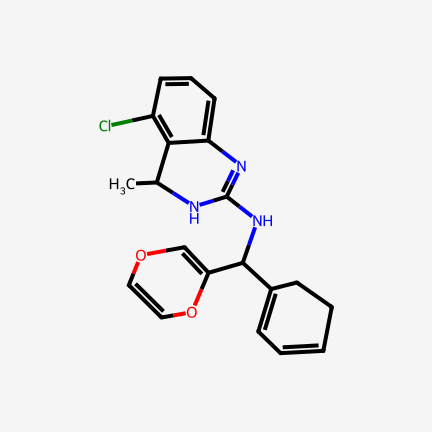 CC1NC(NC(C2=CC=CCC2)C2=COC=CO2)=Nc2cccc(Cl)c21